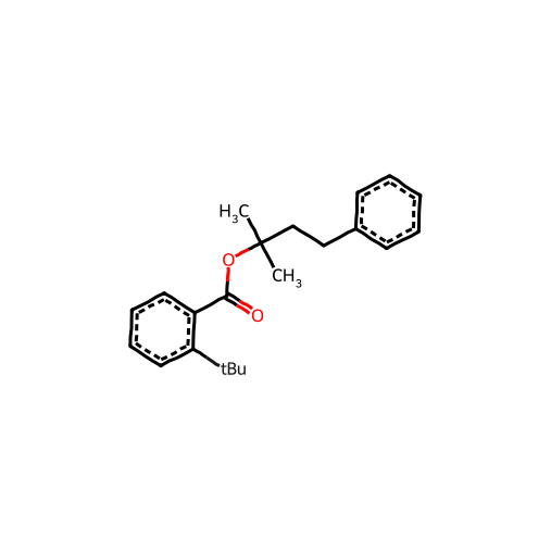 CC(C)(CCc1ccccc1)OC(=O)c1ccccc1C(C)(C)C